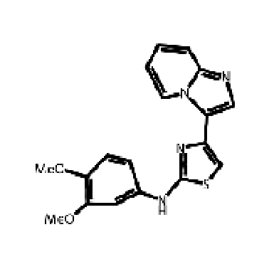 COc1ccc(Nc2nc(-c3cnc4ccccn34)cs2)cc1OC